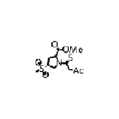 COC(=O)C1C[C@@H](S(C)(=O)=O)CN1C(=S)CC(C)=O